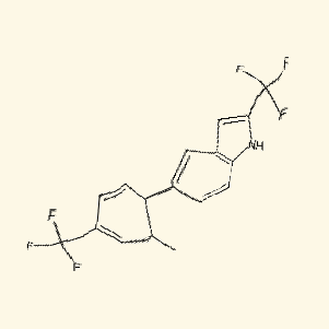 CC1C=C(C(F)(F)F)C=CC1c1ccc2[nH]c(C(F)(F)F)cc2c1